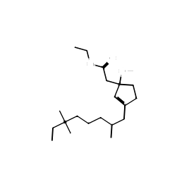 CCOC(=O)CC1(O)C=C(CC(C)CCCC(C)(C)CC)CC1